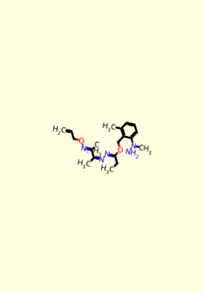 C=CCO/N=C(\C)C(C)=NN=C(CC)OCc1c(C)cccc1N(C)N